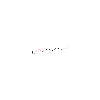 C[CH]OCCCCCBr